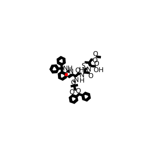 CC(=O)OCC1=C(C(=O)O)N2C(=O)[C@@H](NC(=O)C(=NOC(C)(C)C(=O)OC(c3ccccc3)c3ccccc3)c3csc(NC(c4ccccc4)(c4ccccc4)c4ccccc4)n3)[C@H]2SC1